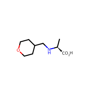 C[C@H](NCC1CCOCC1)C(=O)O